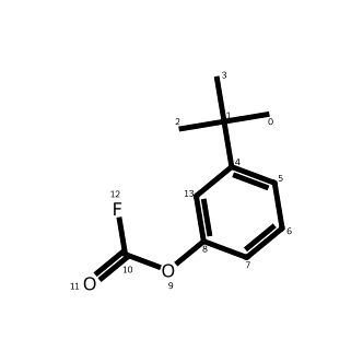 CC(C)(C)c1cccc(OC(=O)F)c1